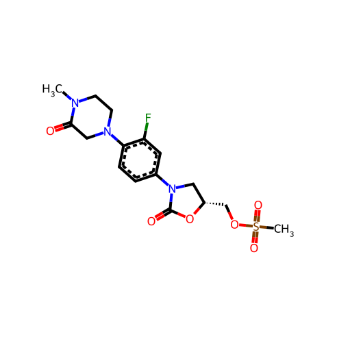 CN1CCN(c2ccc(N3C[C@H](COS(C)(=O)=O)OC3=O)cc2F)CC1=O